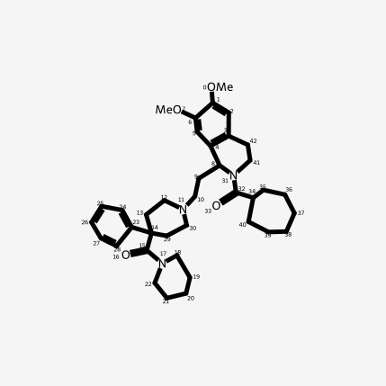 COc1cc2c(cc1OC)C(CCN1CCC(C(=O)N3CCCCC3)(c3ccccc3)CC1)N(C(=O)C1CCCCCC1)CC2